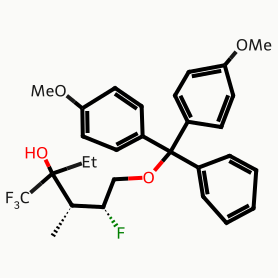 CCC(O)([C@@H](C)[C@@H](F)COC(c1ccccc1)(c1ccc(OC)cc1)c1ccc(OC)cc1)C(F)(F)F